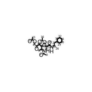 CC(=O)N[C@@H]1CO[C@@H](COC(C)=O)[C@@H](OC(C)=O)[C@H]1O[C@H](C)C(=O)N[C@@H](C)Cc1ccccc1